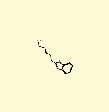 CC(=O)OCCCCCc1nc2ccccc2s1